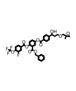 CC1(COCCC(O)c2ccc(C(=O)Oc3ccc(OC(=O)c4ccc(OC(F)(F)F)c(F)c4)c(C(=O)OCc4ccccc4)c3)cc2)CO1